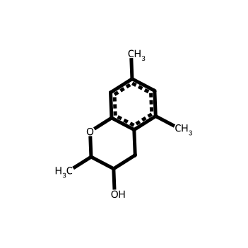 Cc1cc(C)c2c(c1)OC(C)C(O)C2